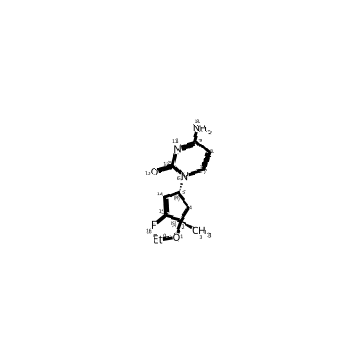 CCO[C@@]1(C)C[C@@H](n2ccc(N)nc2=O)C=C1F